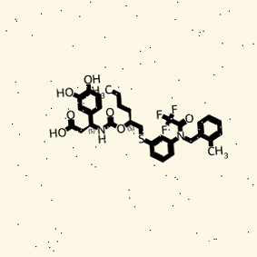 CCCC[C@@H](CSc1cccc(N(Cc2ccccc2C)C(=O)C(F)(F)F)c1)OC(=O)N[C@@H](CC(=O)O)c1ccc(O)c(O)c1